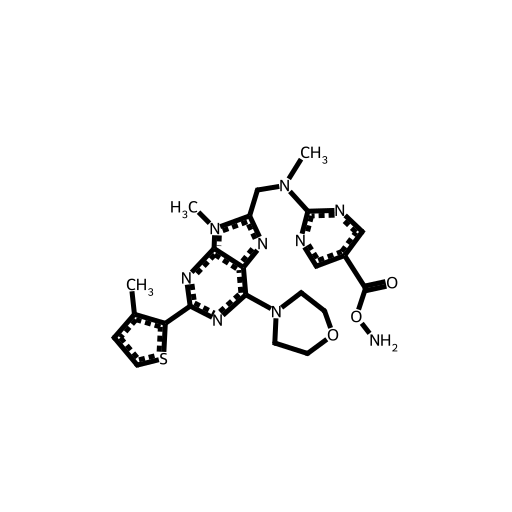 Cc1ccsc1-c1nc(N2CCOCC2)c2nc(CN(C)c3ncc(C(=O)ON)cn3)n(C)c2n1